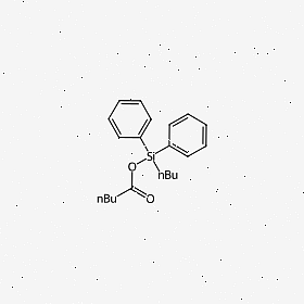 CCCCC(=O)O[Si](CCCC)(c1ccccc1)c1ccccc1